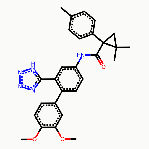 COc1ccc(-c2ccc(NC(=O)C3(c4ccc(C)cc4)CC3(C)C)cc2-c2nnn[nH]2)cc1OC